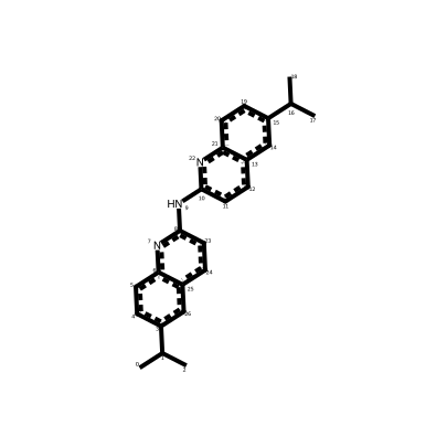 CC(C)c1ccc2nc(Nc3ccc4cc(C(C)C)ccc4n3)ccc2c1